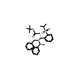 CC(C)S(=O)(=O)c1ccccc1[C@@H](CC(=O)OC(C)(C)C)N(Cc1ccccc1)[C@@H](C)c1ccccc1